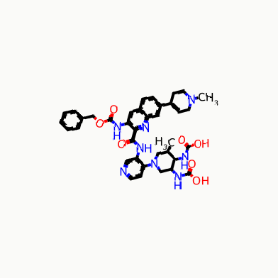 CC1CN(c2ccncc2NC(=O)c2nc3cc(C4=CCN(C)CC4)ccc3cc2NC(=O)OCc2ccccc2)CC(NC(=O)O)C1NC(=O)O